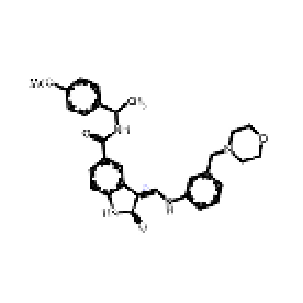 COc1ccc(C(C)NC(=O)c2ccc3c(c2)/C(=C/Nc2cccc(CN4CCOCC4)c2)C(=O)N3)cc1